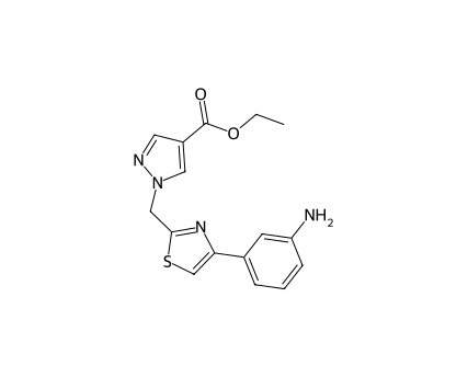 CCOC(=O)c1cnn(Cc2nc(-c3cccc(N)c3)cs2)c1